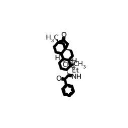 CC[C@@]1(C)[C@H]2CC[C@@]34CC(=O)[C@@](C)(CC[C@H]3[C@]2(C)CC[C@H]1C(=N)C(=O)c1ccccc1)C4